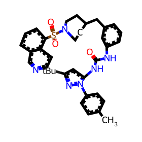 Cc1ccc(-n2nc(C(C)(C)C)cc2NC(=O)Nc2cccc(CC3CCN(S(=O)(=O)c4cccc5cnccc45)CC3)c2)cc1